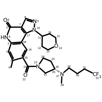 Cc1cc2[nH]c(=O)c3cnn(C4CCOCC4)c3c2cc1C(=O)N1CC[C@H](N(C)CCCC(F)(F)F)C1